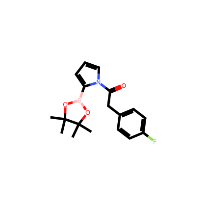 CC1(C)OB(c2cccn2C(=O)Cc2ccc(F)cc2)OC1(C)C